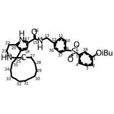 CC(C)COc1cccc(S(=O)(=O)c2ccc(CNC(=O)c3cc4c([nH]3)CCNC43CCCCCCCCCC3)cc2)c1